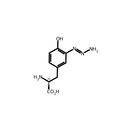 NN=Nc1cc(C[C@H](N)C(=O)O)ccc1O